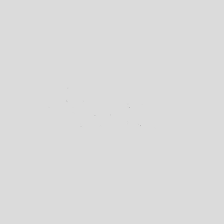 Cc1cc(C)nc(SOCc2ccc([N+](=O)[O-])cc2)n1